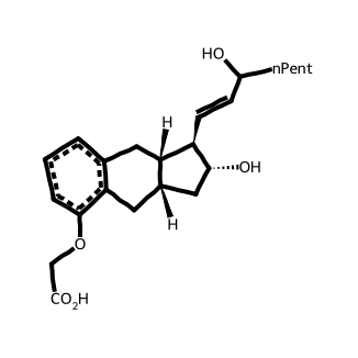 CCCCCC(O)C=C[C@@H]1[C@H]2Cc3cccc(OCC(=O)O)c3C[C@H]2C[C@H]1O